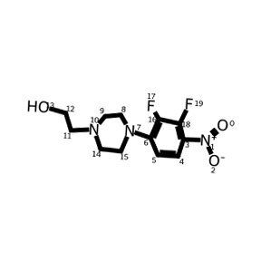 O=[N+]([O-])c1ccc(N2CCN(CCO)CC2)c(F)c1F